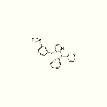 FC(F)(F)Sc1cccc(Cn2ccnc2C(c2ccccc2)c2ccccc2)c1